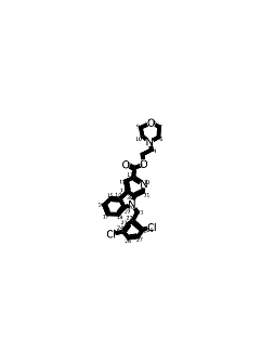 O=C(OCCN1CCOCC1)c1cc2c3ccccc3n(Cc3cc(Cl)ccc3Cl)c2cn1